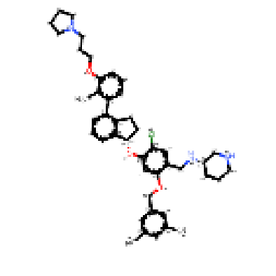 Cc1c(OCCCN2CCCC2)cccc1-c1cccc2c1CC[C@@H]2Oc1cc(OCc2cc(C#N)cc(C#N)c2)c(CN[C@H]2CCCNC2)cc1Cl